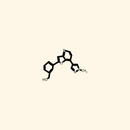 Cn1cc(-c2ccnc3cc(-c4cccc(CO)c4)oc23)cn1